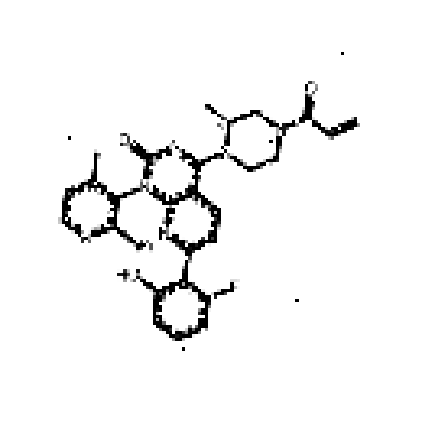 C=CC(=O)N1CCN(c2nc(=O)n(-c3c(C)ccnc3C(C)C)c3nc(-c4c(O)cccc4F)ccc23)[C@@H](C)C1